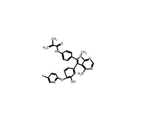 C=C(C)C(=O)Nc1ccc(-c2c(-c3ccc(Oc4ccc(F)cn4)c(O)c3)c3c(N)ncnc3n2C)cc1